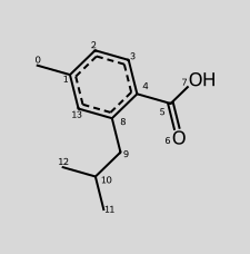 Cc1ccc(C(=O)O)c(CC(C)C)c1